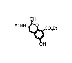 CCOC(=O)c1cc(O)cc2c1OB(O)[C@@H](NC(C)=O)C2